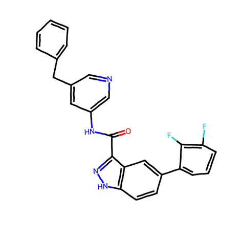 O=C(Nc1cncc(Cc2ccccc2)c1)c1n[nH]c2ccc(-c3cccc(F)c3F)cc12